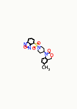 Cc1ccc2c(c1)COC(=O)N2C1CCN(S(=O)(=O)c2cccc3nonc23)CC1